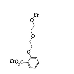 CCOCCOCCOc1ccccc1C(=O)OCC